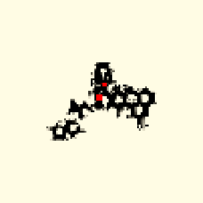 C#Cc1cccc2cc(O)cc(-c3c(F)cc4c(N5CC6CCC(C5)N6C(=O)C(F)(F)F)nc(OCC5(CN6CCC7(CCCO7)C6)CC5)nc4c3F)c12